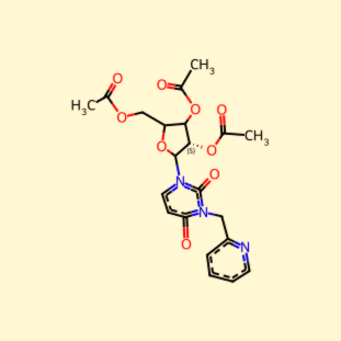 CC(=O)OCC1OC(n2ccc(=O)n(Cc3ccccn3)c2=O)[C@@H](OC(C)=O)C1OC(C)=O